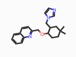 CC1(C)CCC(OCc2ccc3ccccc3n2)C(Cn2ccnc2)C1